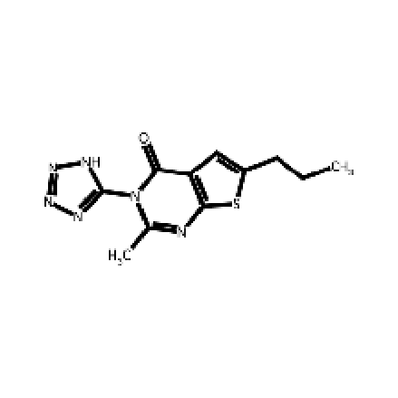 CCCc1cc2c(=O)n(-c3nnn[nH]3)c(C)nc2s1